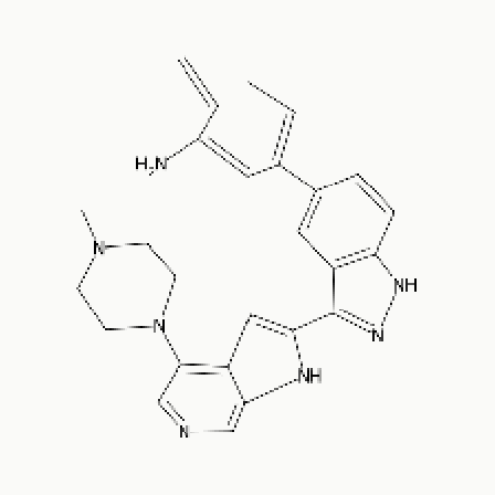 C=C/C(N)=C\C(=C/C)c1ccc2[nH]nc(-c3cc4c(N5CCN(C)CC5)cncc4[nH]3)c2c1